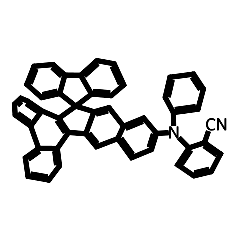 N#Cc1ccccc1N(c1ccccc1)c1ccc2cc3c(cc2c1)C1(c2ccccc2-c2ccccc21)c1c-3c2ccccc2c2ccccc12